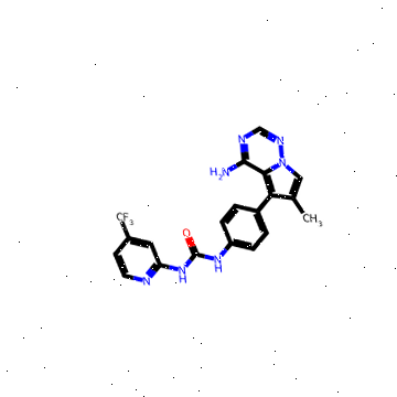 Cc1cn2ncnc(N)c2c1-c1ccc(NC(=O)Nc2cc(C(F)(F)F)ccn2)cc1